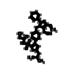 COC(=O)NS(=O)(=O)c1sc(CC(C)C)cc1-c1ccc(Cn2c(-c3ccccc3)nc(OC)c2CO)cc1